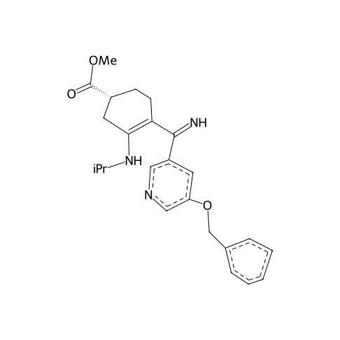 COC(=O)[C@@H]1CCC(C(=N)c2cncc(OCc3ccccc3)c2)=C(NC(C)C)C1